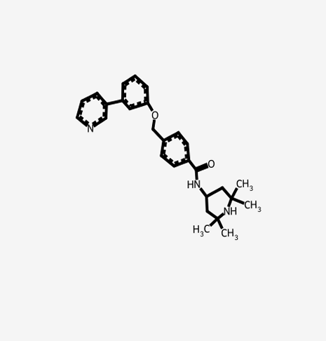 CC1(C)CC(NC(=O)c2ccc(COc3cccc(-c4cccnc4)c3)cc2)CC(C)(C)N1